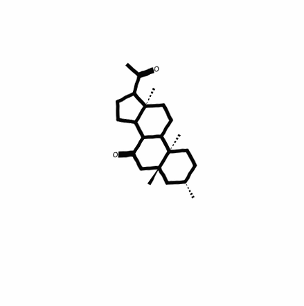 CC(=O)C1CCC2C3C(=O)C[C@@]4(C)C[C@@H](C)CC[C@]4(C)C3CC[C@]12C